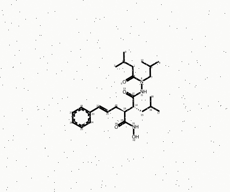 CC(C)CC(=O)N(CC(C)C)NC(=O)[C@H](CC(C)C)[C@H](CC=Cc1ccccc1)C(=O)NO